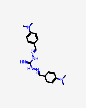 CN(C)C1=CCC(/C=N/NC(=N)N/N=C/c2ccc(N(C)C)cc2)C=C1